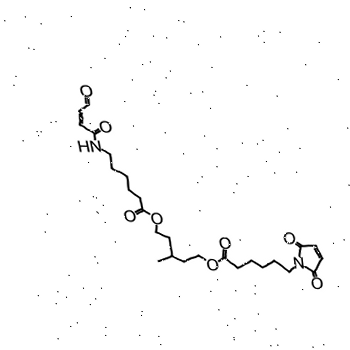 CC(CCOC(=O)CCCCCNC(=O)/C=C\C=O)CCOC(=O)CCCCCN1C(=O)C=CC1=O